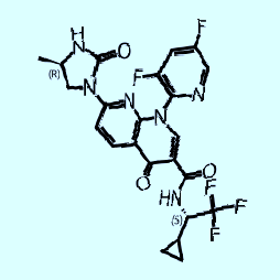 C[C@@H]1CN(c2ccc3c(=O)c(C(=O)N[C@@H](C4CC4)C(F)(F)F)cn(-c4ncc(F)cc4F)c3n2)C(=O)N1